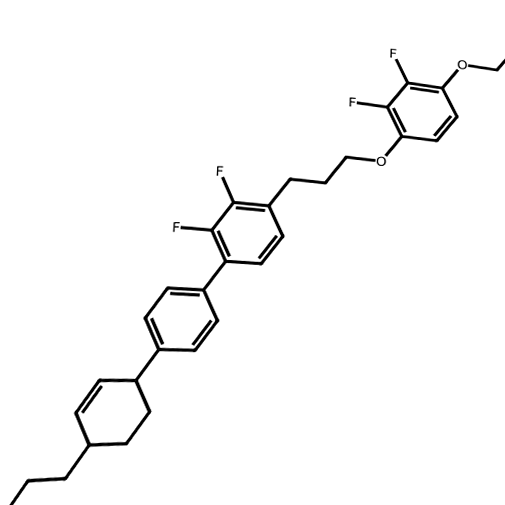 CCCC1C=CC(c2ccc(-c3ccc(CCCOc4ccc(OCC)c(F)c4F)c(F)c3F)cc2)CC1